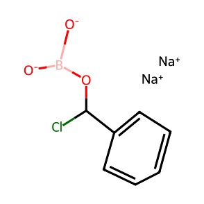 [Na+].[Na+].[O-]B([O-])OC(Cl)c1ccccc1